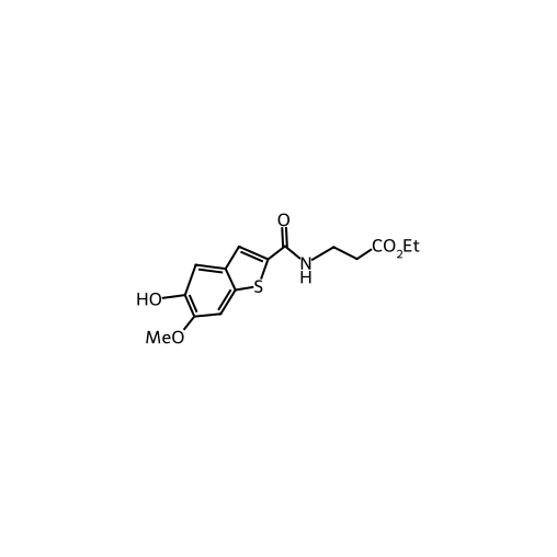 CCOC(=O)CCNC(=O)c1cc2cc(O)c(OC)cc2s1